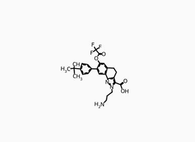 CC(C)(C)c1ccc(-c2cc3c(cc2OC(=O)C(F)(F)F)CCc2c-3nn(CCCN)c2C(=O)O)cc1